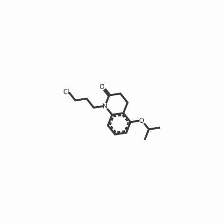 CC(C)Oc1cccc2c1CCC(=O)N2CCCCl